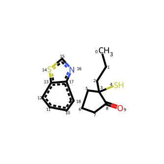 CCCC1(S)CCCC1=O.c1ccc2scnc2c1